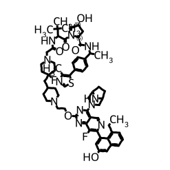 CCc1cccc2cc(O)cc(-c3ncc4c(N5CC6CCC(C5)N6)nc(OCCN5CCC(CC6(F)CCN(CC(=O)NC(C(=O)N7C[C@H](O)C[C@H]7C(=O)NC(C)c7ccc(-c8scnc8C)cc7)C(C)(C)C)CC6)CC5)nc4c3F)c12